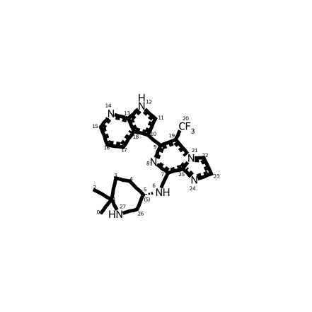 CC1(C)CC[C@H](Nc2nc(-c3c[nH]c4ncccc34)c(C(F)(F)F)n3ccnc23)CN1